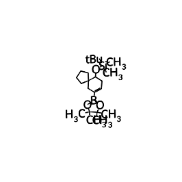 CC1(C)OB(C2=CCC(O[Si](C)(C)C(C)(C)C)C3(CCCC3)C2)OC1(C)C